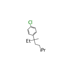 CCC(C)(CCC(C)C)c1ccc(Cl)cc1